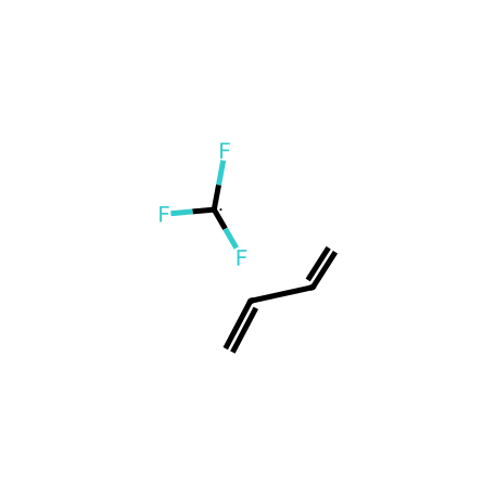 C=CC=C.F[C](F)F